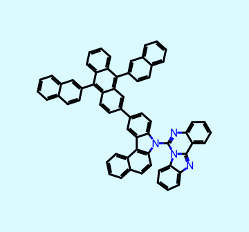 c1ccc2cc(-c3c4ccccc4c(-c4ccc5ccccc5c4)c4cc(-c5ccc6c(c5)c5c7ccccc7ccc5n6-c5nc6ccccc6c6nc7ccccc7n56)ccc34)ccc2c1